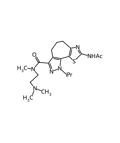 CC(=O)Nc1nc2c(s1)-c1c(c(C(=O)N(C)CCN(C)C)nn1C(C)C)CCC2